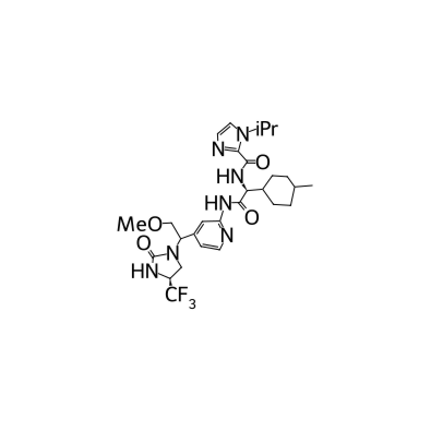 COCC(c1ccnc(NC(=O)[C@@H](NC(=O)c2nccn2C(C)C)C2CCC(C)CC2)c1)N1C[C@@H](C(F)(F)F)NC1=O